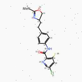 CNC1=NC(CCc2ccc(NC(=O)c3ncc(Cl)cc3F)cc2)CO1